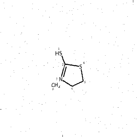 C.SC1=NCCS1